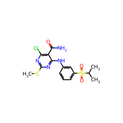 CSc1nc(Cl)c(C(N)=O)c(Nc2cccc(S(=O)(=O)C(C)C)c2)n1